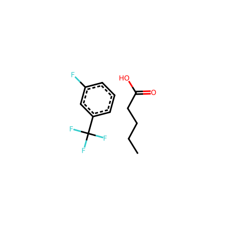 CCCCC(=O)O.Fc1cccc(C(F)(F)F)c1